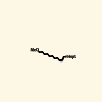 CCCCCCCC/C=C\CCCCCCCCOC